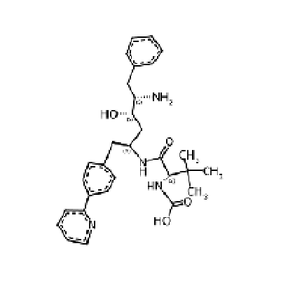 CC(C)(C)[C@H](NC(=O)O)C(=O)N[C@@H](Cc1ccc(-c2ccccn2)cc1)C[C@H](O)[C@@H](N)Cc1ccccc1